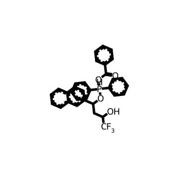 O=C(O[PH](OC(CC(O)C(F)(F)F)c1ccc2ccccc2c1)(c1ccccc1)c1ccccc1)c1ccccc1